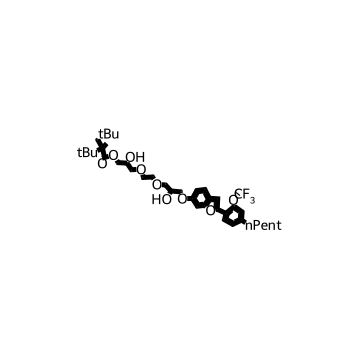 CCCCCc1ccc(-c2cc3ccc(OCC(O)COCCOCC(O)COC(=O)C(C)(CC(C)(C)C)C(C)(C)C)cc3o2)c(OC(F)(F)F)c1